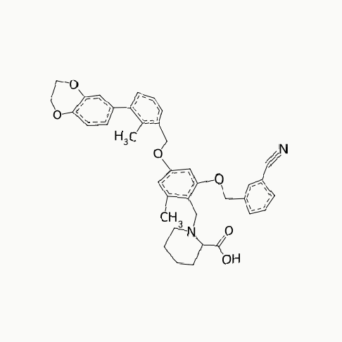 Cc1cc(OCc2cccc(-c3ccc4c(c3)OCCO4)c2C)cc(OCc2cccc(C#N)c2)c1CN1CCCCC1C(=O)O